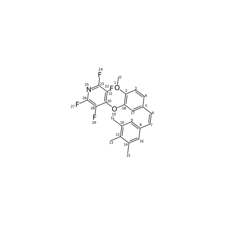 COc1ccc(/C=C\c2cc(C)c(C)c(C)c2)cc1Oc1c(F)c(F)nc(F)c1F